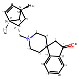 O=C1CC2(CCN(C[C@H]3C[C@H]4C=C[C@H]3C4)CC2)c2ccccc21